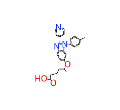 Cc1ccc(-n2c(-c3ccncc3)nc3ccc(OC(C)CCCC(=O)O)cc32)cc1